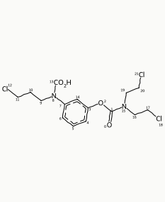 O=C(Oc1cccc(N(CCCCl)C(=O)O)c1)N(CCCl)CCCl